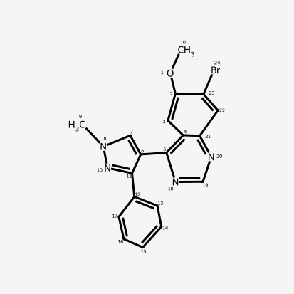 COc1cc2c(-c3cn(C)nc3-c3ccccc3)ncnc2cc1Br